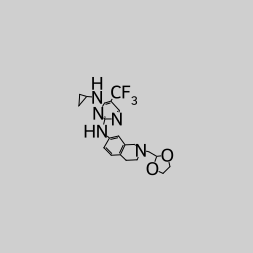 FC(F)(F)c1cnc(Nc2ccc3c(c2)CN(CC2OCCO2)CC3)nc1NC1CC1